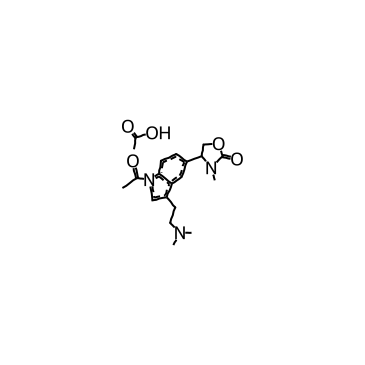 CC(=O)O.CC(=O)n1cc(CCN(C)C)c2cc(C3COC(=O)N3C)ccc21